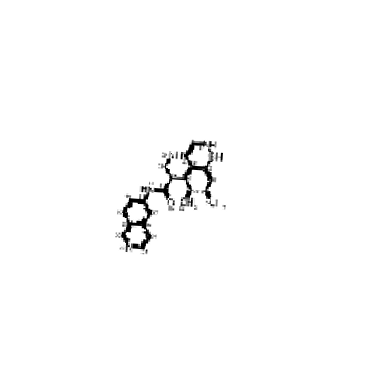 C=C/C=C1/BNC=C/C1=C(/C=C)C(CN)C(=O)Nc1ccc2cnccc2c1